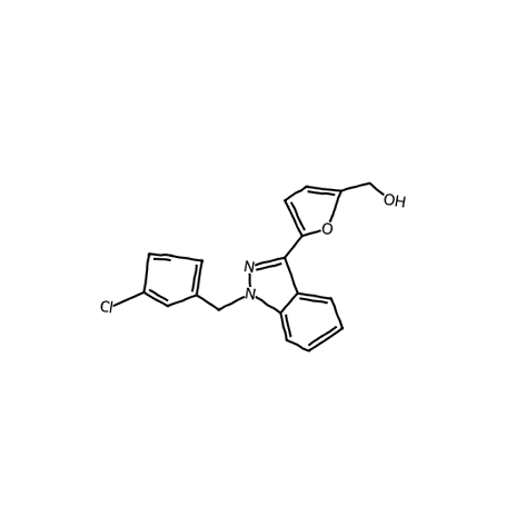 OCc1ccc(-c2nn(Cc3cccc(Cl)c3)c3ccccc23)o1